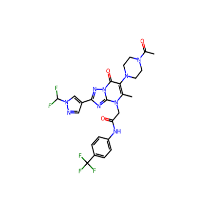 CC(=O)N1CCN(c2c(C)n(CC(=O)Nc3ccc(C(F)(F)F)cc3)c3nc(-c4cnn(C(F)F)c4)nn3c2=O)CC1